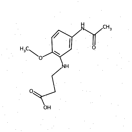 COc1ccc(NC(C)=O)cc1NCCC(=O)O